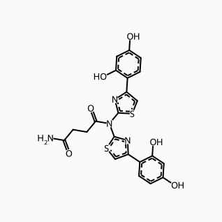 NC(=O)CCC(=O)N(c1nc(-c2ccc(O)cc2O)cs1)c1nc(-c2ccc(O)cc2O)cs1